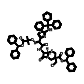 CC(C)(ON=C(C(=O)NC1C(=O)N2CC(CCl)(C(=O)OC(c3ccccc3)c3ccccc3)CS[C@H]12)c1csc(NC(c2ccccc2)(c2ccccc2)c2ccccc2)n1)C(=O)OC(c1ccccc1)c1ccccc1